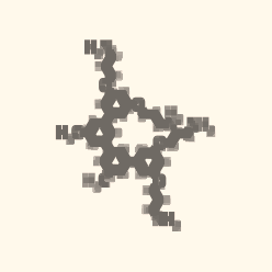 Cc1cc(-c2cc(OCCCN)cc(OCCCN)c2)cc(-c2cc(C)cc(-c3cc(OCCCN)cc(OCCCN)c3)c2)c1